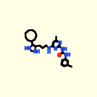 Cc1cccc(NC(=O)Nc2nc(C)cc(NCCCC3NCNC3C3CCCCCCCC3)n2)c1